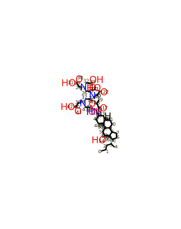 CCCC(C)[C@H]1CCC2C3CC[C@@H]4C[C@@H](NC(=O)CC[C@@H](C(=O)O)N(CCN(CC(=O)O)CC(=O)O)CCN(CC(=O)O)CC(=O)O)CC[C@]4(C)C3C[C@H](O)[C@@]21C